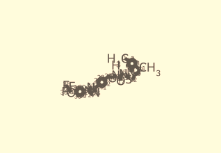 Cc1ccc2c(c1)N1C(=CC2C)CS/C1=N\C(=O)NOCc1ccc(-c2ncn(-c3ccc(OC(F)(F)F)cc3)n2)cc1